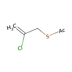 C=C(Cl)CSC(C)=O